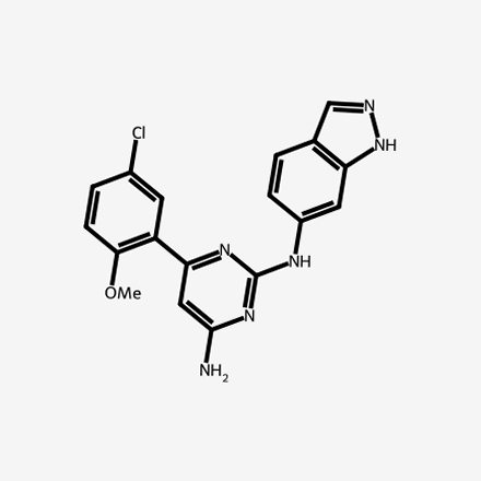 COc1ccc(Cl)cc1-c1cc(N)nc(Nc2ccc3cn[nH]c3c2)n1